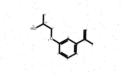 C=C(C)c1cccc(OCC(C)O)c1